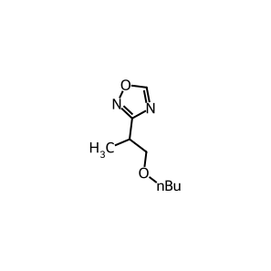 [CH2]CCCOCC(C)c1ncon1